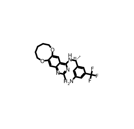 Cc1nc(N[C@H](C)c2cc(N)cc(C(F)(F)F)c2)c2cc3c(cc2n1)OCCCCCO3